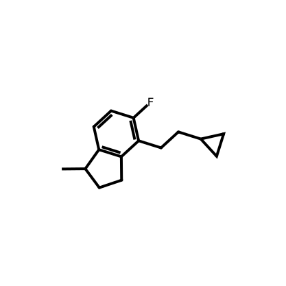 CC1CCc2c1ccc(F)c2CCC1CC1